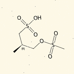 C[C@H](COS(C)(=O)=O)CS(=O)(=O)O